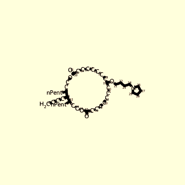 C=C=C=C=C1C(CCCCC)CCOC(=O)CCCCCCCC(OCCCCN2CCCC2)CCCCCCCC(=O)OCCC1CCCCC